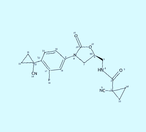 N#CC1(C(=O)NC[C@H]2CN(c3ccc(C4(C#N)CC4)c(F)c3)C(=O)O2)CC1